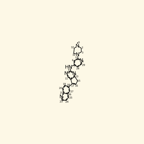 CN1CCN(c2cc(Nc3ncc4c(n3)CC=C4c3ccc4ncccc4c3)ccn2)CC1